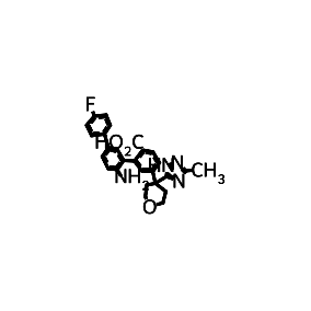 Cc1n[nH]c(C2(c3ccc(C(=O)O)c(-c4cc(-c5ccc(F)cc5)ccc4N)c3)CCOCC2)n1